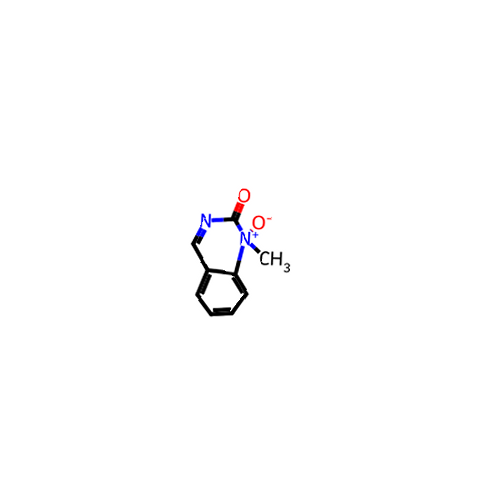 C[N+]1([O-])C(=O)N=Cc2ccccc21